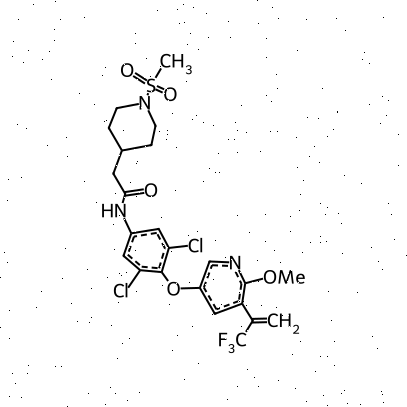 C=C(c1cc(Oc2c(Cl)cc(NC(=O)CC3CCN(S(C)(=O)=O)CC3)cc2Cl)cnc1OC)C(F)(F)F